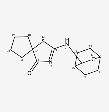 O=C1N=C(NC2CC3CCC2CC3)SC12CCCC2